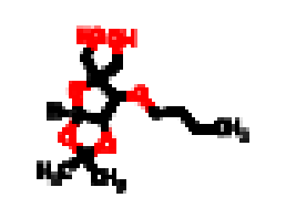 CCCCOC1C2OC(C)(C)O[C@H]2OC1(CO)CO